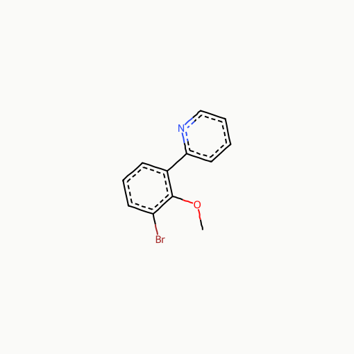 COc1c(Br)cccc1-c1ccccn1